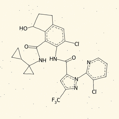 O=C(NC1(C2CC2)CC1)c1c(NC(=O)c2cc(C(F)(F)F)nn2-c2ncccc2Cl)c(Cl)cc2c1C(O)CC2